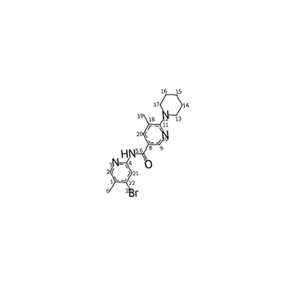 Cc1cnc(NC(=O)c2cnc(N3CCCCC3)c(C)c2)cc1Br